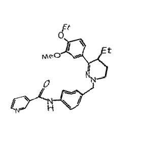 CCOc1ccc(C2=NN(Cc3ccc(NC(=O)c4cccnc4)cc3)CCC2CC)cc1OC